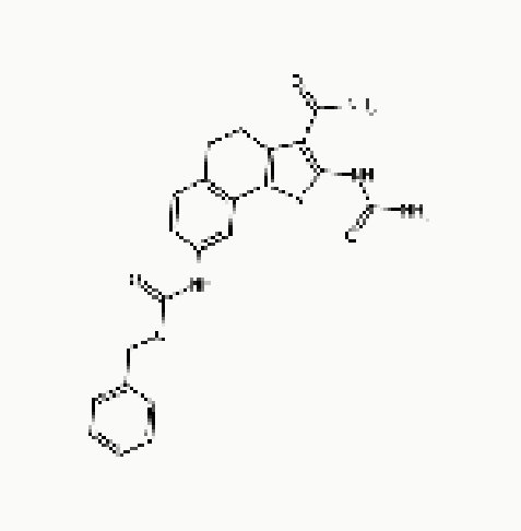 NC(=O)Nc1sc2c(c1C(N)=O)CCc1ccc(NC(=O)OCc3ccccc3)cc1-2